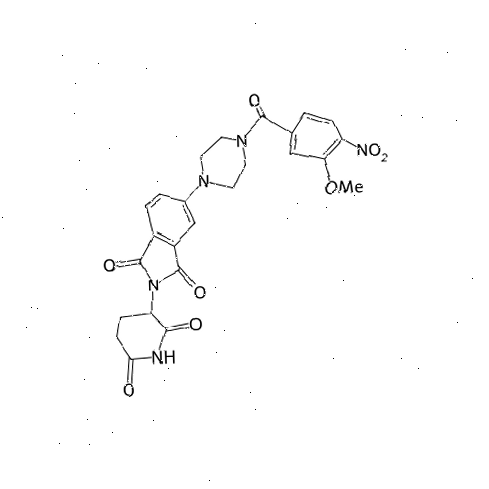 COc1cc(C(=O)N2CCN(c3ccc4c(c3)C(=O)N(C3CCC(=O)NC3=O)C4=O)CC2)ccc1[N+](=O)[O-]